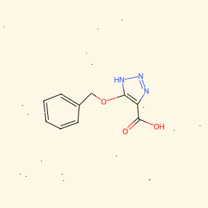 O=C(O)c1nn[nH]c1OCc1ccccc1